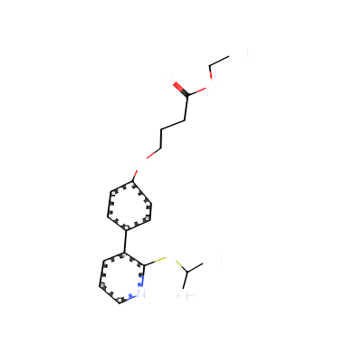 CCOC(=O)CCCOc1ccc(-c2cccnc2SC(C)C)cc1